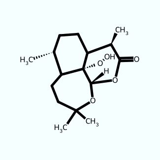 C[C@@H]1CCC2[C@@H](C)C(=O)O[C@@H]3OC(C)(C)CCC1[C@@]23OO